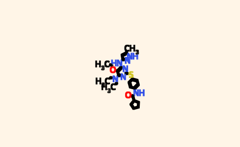 CCOc1c(Nc2cc(C)[nH]n2)nc(Sc2ccc(NC(=O)C3CCCC3)cc2)nc1N(CC)CC